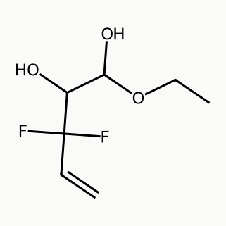 C=CC(F)(F)C(O)C(O)OCC